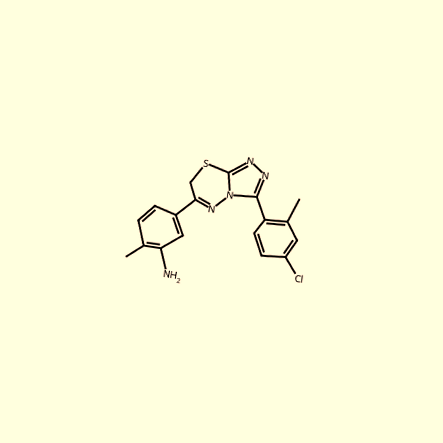 Cc1ccc(C2=Nn3c(nnc3-c3ccc(Cl)cc3C)SC2)cc1N